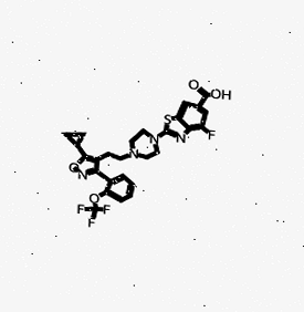 O=C(O)c1cc(F)c2nc(N3CCN(CCc4c(-c5ccccc5OC(F)(F)F)noc4C4CC4)CC3)sc2c1